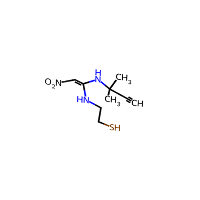 C#CC(C)(C)N/C(=C/[N+](=O)[O-])NCCS